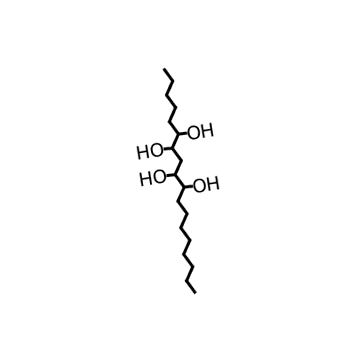 CCCCCCCCC(O)C(O)CC(O)C(O)CCCCC